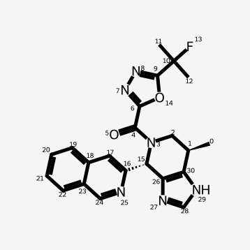 C[C@@H]1CN(C(=O)c2nnc(C(C)(C)F)o2)[C@@H](c2cc3ccccc3cn2)c2nc[nH]c21